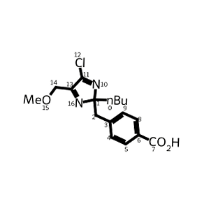 CCCCC1(Cc2ccc(C(=O)O)cc2)N=C(Cl)C(COC)=N1